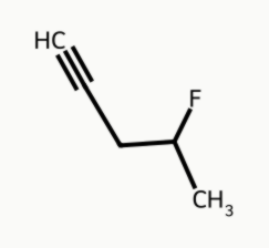 C#CCC(C)F